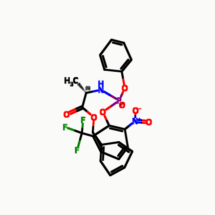 C[C@H](NP(=O)(Oc1ccccc1)Oc1c([N+](=O)[O-])cccc1C(F)(F)F)C(=O)OCc1ccccc1